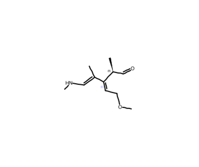 CNC=C(C)/C(=C/COC)[C@@H](C)C=O